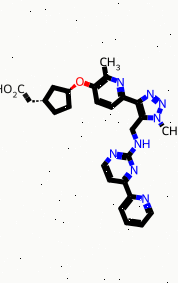 Cc1nc(-c2nnn(C)c2CNc2nccc(-c3ccccn3)n2)ccc1O[C@H]1CC[C@H](CC(=O)O)C1